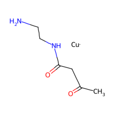 CC(=O)CC(=O)NCCN.[Cu]